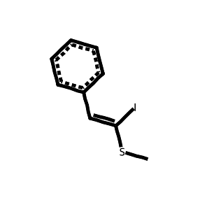 CS/C(I)=C/c1ccccc1